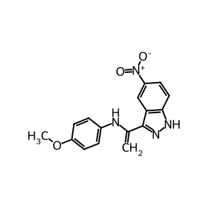 C=C(Nc1ccc(OC)cc1)c1n[nH]c2ccc([N+](=O)[O-])cc12